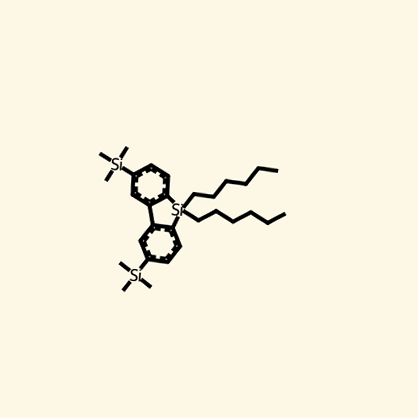 CCCCCC[Si]1(CCCCCC)c2ccc([Si](C)(C)C)cc2-c2cc([Si](C)(C)C)ccc21